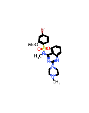 COc1cc(Br)ccc1S(=O)(=O)N(C)c1nc(N2CCN(C)CC2)nc2ccccc12